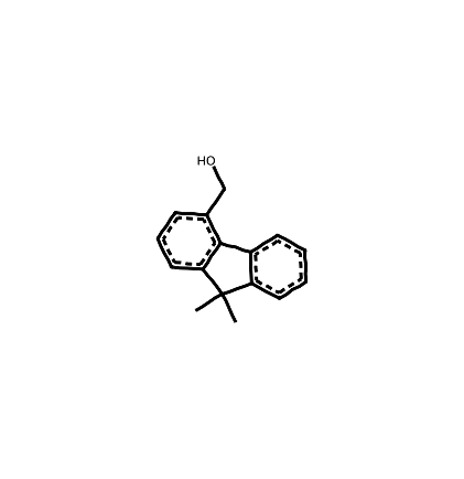 CC1(C)c2ccccc2-c2c(CO)cccc21